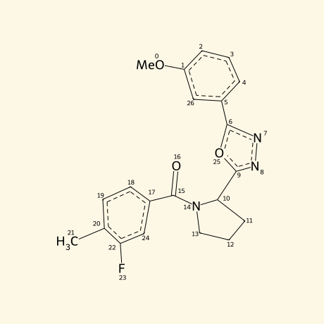 COc1cccc(-c2nnc(C3CCCN3C(=O)c3ccc(C)c(F)c3)o2)c1